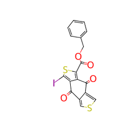 O=C(OCc1ccccc1)c1sc(I)c2c1C(=O)c1cscc1C2=O